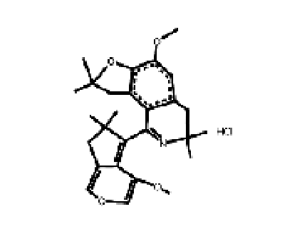 COC1=COC=C2CC(C)(C)C(C3=NC(C)(C)Cc4cc(OC)c5c(c43)CC(C)(C)O5)=C21.Cl